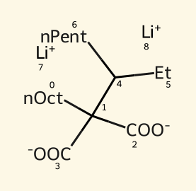 CCCCCCCCC(C(=O)[O-])(C(=O)[O-])C(CC)CCCCC.[Li+].[Li+]